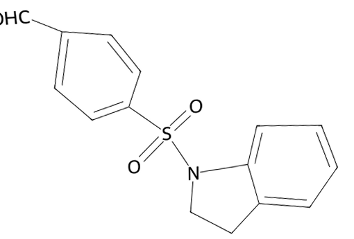 O=Cc1ccc(S(=O)(=O)N2CCc3ccccc32)cc1